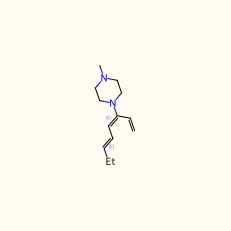 C=C/C(=C\C=C\CC)N1CCN(C)CC1